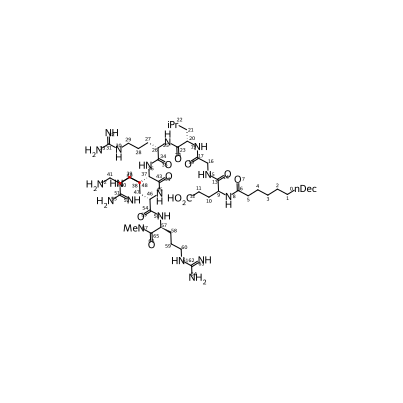 CCCCCCCCCCCCCCCC(=O)NC(CCC(=O)O)C(=O)NCC(=O)N[C@@H](CC(C)C)C(=O)N[C@@H](CCCNC(=N)N)C(=O)N[C@@H](CCCCN)C(=O)N[C@@H](CCCNC(=N)N)C(=O)N[C@@H](CCCNC(=N)N)C(=O)NC